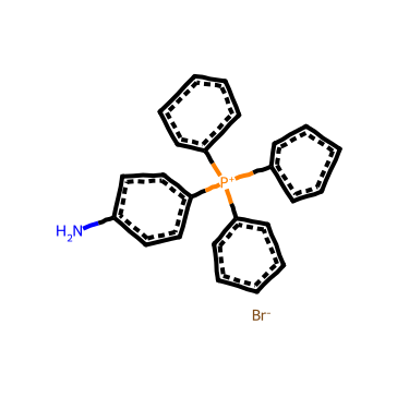 Nc1ccc([P+](c2ccccc2)(c2ccccc2)c2ccccc2)cc1.[Br-]